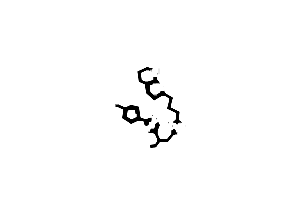 Cl.O=C(O)CC(Cc1nc(CCCc2ccc3c(n2)NCCC3)no1)c1cnc(-c2ccc(Cl)cc2)s1